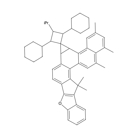 Cc1cc(C)c2c(C)cc3c(c2c1)C1C(c2ccc4c(c2-3)C(C)(C)c2c-4oc3ccccc23)C12C(C1CCCCC1)C(C(C)C)C2C1CCCCC1